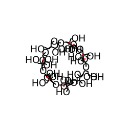 OCCC1OC2OC(CO)C(OC3OC(CO)C(OC4OCC(CCO)(OC5OC(CO)C(OC6OC(CO)C(OC7OC(CO)C(OC(O)/C(O)=C/1O)C(O)C7O)C(O)C6O)C(O)C5O)C(O)C4O)C(O)C3O)C(O)C2O